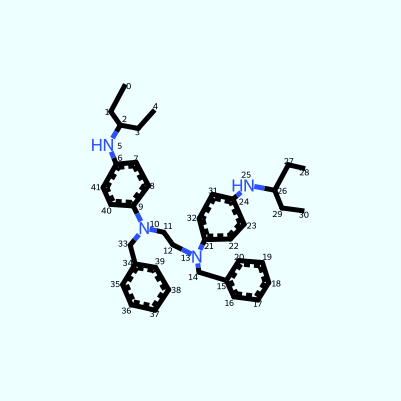 CCC(CC)Nc1ccc(N(CCN(Cc2ccccc2)c2ccc(NC(CC)CC)cc2)Cc2ccccc2)cc1